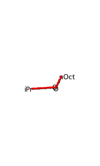 CCCCCCCCC=CCCCCCCCCCCCC(=O)OCCCCCCCCCCCCCCCCCCCCCCCCCCC(C)C